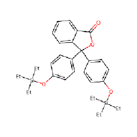 CC[Si](CC)(CC)Oc1ccc(C2(c3ccc(O[Si](CC)(CC)CC)cc3)OC(=O)c3ccccc32)cc1